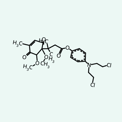 COC1C(=O)C(C)=CC(=O)C1(OC)C(C)(C)CC(=O)Oc1ccc(N(CCCl)CCCl)cc1